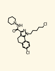 O=C(NN1CCCCC1)c1nn(CCCCCCl)c2c1CCc1cc(Cl)ccc1-2